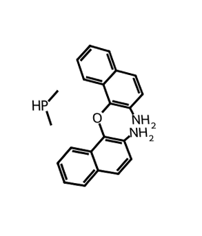 CPC.Nc1ccc2ccccc2c1Oc1c(N)ccc2ccccc12